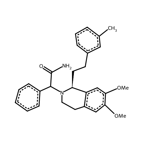 COc1cc2c(cc1OC)[C@H](CCc1cccc(C)c1)N(C(C(N)=O)c1ccccc1)CC2